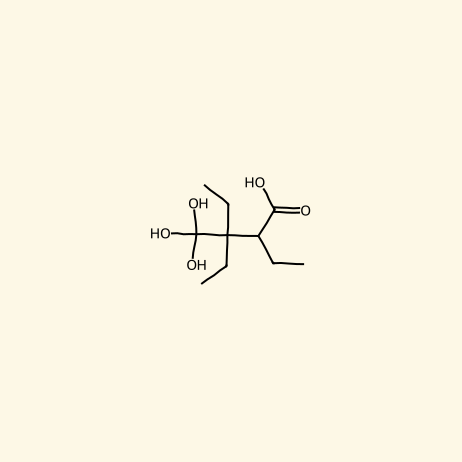 CCC(C(=O)O)C(CC)(CC)C(O)(O)O